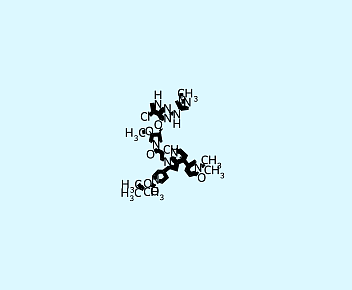 C=C(Cn1c(C2CCN(C(=O)OC(C)(C)C)CC2)cc2c(-c3ccc(=O)n(C(C)C)c3)ccnc21)C(=O)N1C[C@H](COc2nc(Nc3cnn(C)c3)nc3[nH]cc(Cl)c23)[C@@H](OC)C1